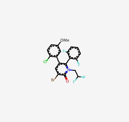 COc1ccc(Cl)c(-c2cc(Br)c(=O)n(CC(F)F)c2-c2c(F)cccc2F)c1